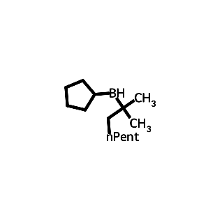 CCCCCCC(C)(C)BC1CCCC1